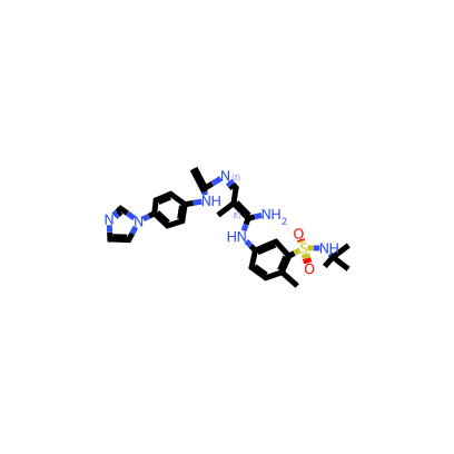 C=C(/N=C\C(C)=C(/N)Nc1ccc(C)c(S(=O)(=O)NC(C)(C)C)c1)Nc1ccc(-n2ccnc2)cc1